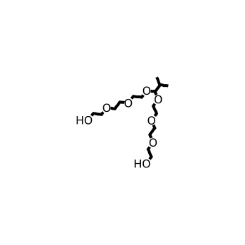 CC(C)C(OCCOCCOCCO)OCCOCCOCCO